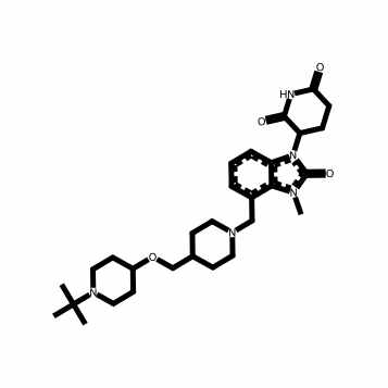 Cn1c(=O)n(C2CCC(=O)NC2=O)c2cccc(CN3CCC(COC4CCN(C(C)(C)C)CC4)CC3)c21